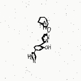 C[C@]12CCC[C@](C)(C[C@H](Oc3ccc(-c4ccc(-c5cn[nH]c5)cc4O)nn3)C1)N2